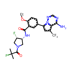 CCOc1ccc(-c2cc(C(F)(F)F)c3c(N)ncnn23)cc1C(=O)N[C@@H]1CN(C(=O)C(C)(C)F)C[C@@H]1F